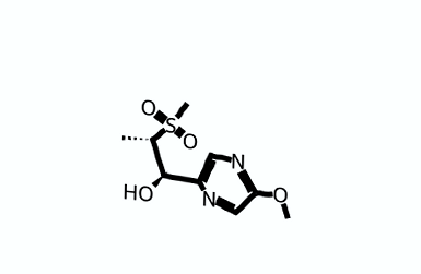 COc1cnc([C@@H](O)[C@H](C)S(C)(=O)=O)cn1